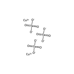 O=[Te](=O)([O-])[O-].O=[Te](=O)([O-])[O-].O=[Te](=O)([O-])[O-].[Cu+3].[Cu+3]